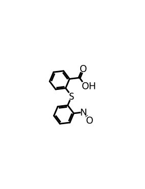 O=Nc1ccccc1Sc1ccccc1C(=O)O